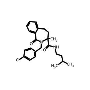 CC(C)CCNC(=O)C1(C)CCc2ccccc2C(=O)N1Cc1ccc(Cl)cc1